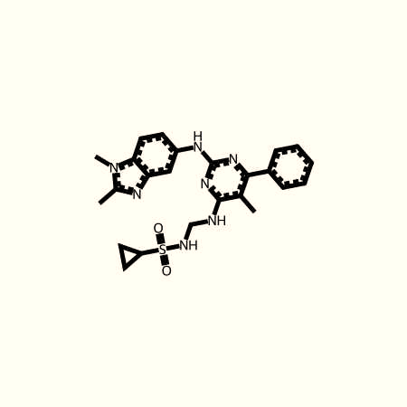 Cc1c(NCNS(=O)(=O)C2CC2)nc(Nc2ccc3c(c2)nc(C)n3C)nc1-c1ccccc1